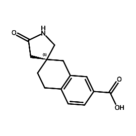 O=C1C[C@@]2(CCc3ccc(C(=O)O)cc3C2)CN1